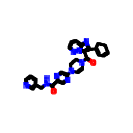 O=C(NCc1cccnc1)c1cnc(N2C=CN(C(=O)c3c(C4=CC=CCC4)nc4cccnn34)CC2)cn1